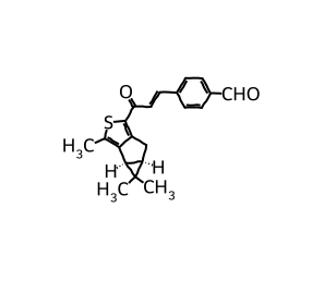 Cc1sc(C(=O)C=Cc2ccc(C=O)cc2)c2c1[C@H]1[C@@H](C2)C1(C)C